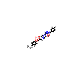 Cc1ccc(CNC(=O)CN2CCN(CC(O)COc3ccc(C(F)(F)F)cc3)CC2)cc1